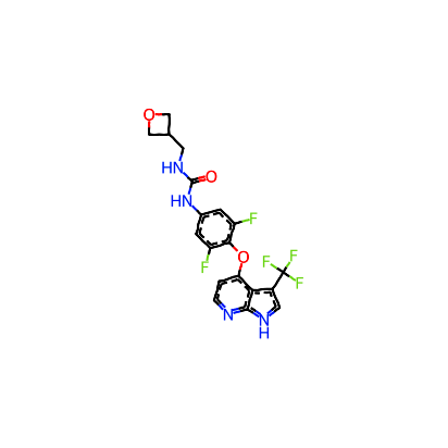 O=C(NCC1COC1)Nc1cc(F)c(Oc2ccnc3[nH]cc(C(F)(F)F)c23)c(F)c1